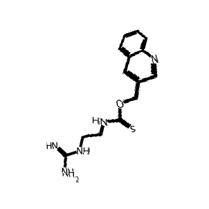 N=C(N)NCCNC(=S)OCc1cnc2ccccc2c1